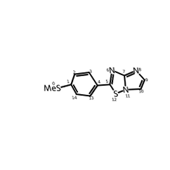 CSc1ccc(-c2nc3nccn3s2)cc1